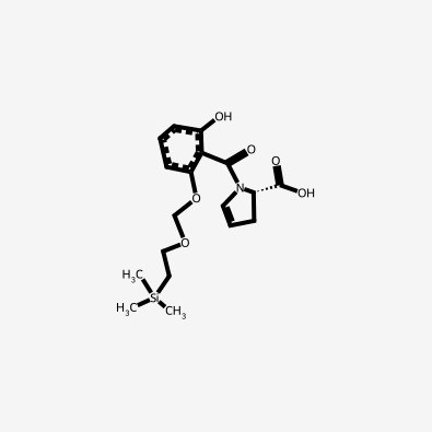 C[Si](C)(C)CCOCOc1cccc(O)c1C(=O)N1C=CC[C@H]1C(=O)O